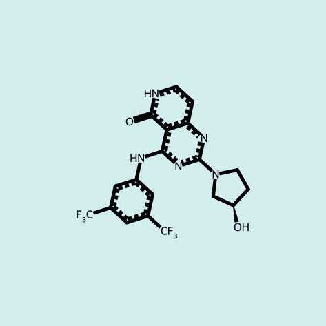 O=c1[nH]ccc2nc(N3CC[C@@H](O)C3)nc(Nc3cc(C(F)(F)F)cc(C(F)(F)F)c3)c12